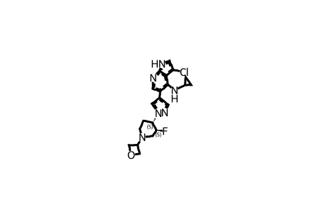 F[C@H]1CN(C2COC2)CC[C@@H]1n1cc(-c2cnc3[nH]cc(Cl)c3c2NC2CC2)cn1